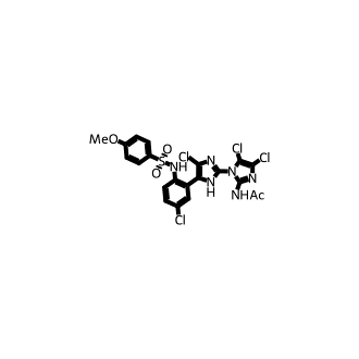 COc1ccc(S(=O)(=O)Nc2ccc(Cl)cc2-c2[nH]c(-n3c(NC(C)=O)nc(Cl)c3Cl)nc2Cl)cc1